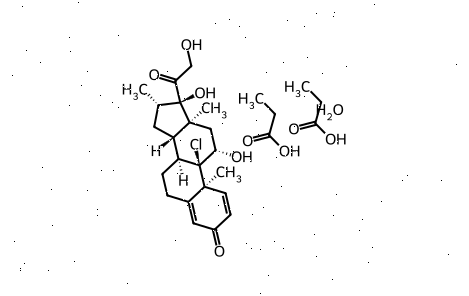 CCC(=O)O.CCC(=O)O.C[C@H]1C[C@H]2[C@@H]3CCC4=CC(=O)C=C[C@]4(C)[C@@]3(Cl)[C@@H](O)C[C@]2(C)[C@@]1(O)C(=O)CO.O